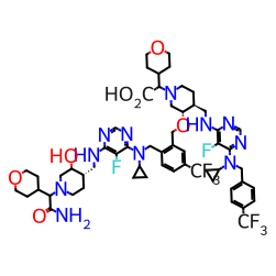 NC(=O)C(C1CCOCC1)N1CC[C@@H](CNc2ncnc(N(Cc3ccc(C(F)(F)F)cc3CO[C@@H]3CN(C(C(=O)O)C4CCOCC4)CC[C@H]3CNc3ncnc(N(Cc4ccc(C(F)(F)F)cc4)C4CC4)c3F)C3CC3)c2F)[C@H](O)C1